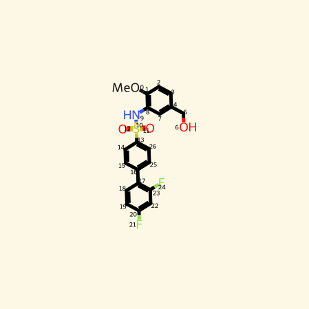 COc1ccc(CO)cc1NS(=O)(=O)c1ccc(-c2ccc(F)cc2F)cc1